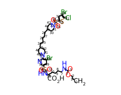 C=CCOC(=O)NCCCCC(NS(=O)(=O)c1cnc(N2CCC(CCCCCC3CCN(S(=O)(=O)c4cc(Br)c(Cl)s4)CC3)CC2)c(Br)c1)C(=O)O